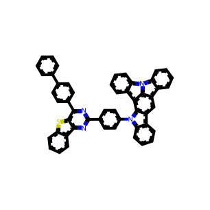 c1ccc(-c2ccc(-c3nc(-c4ccc(-n5c6ccccc6c6cc7c8ccccc8n8c9ccccc9c(c65)c78)cc4)nc4c3sc3ccccc34)cc2)cc1